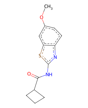 COc1ccc2nc(NC(=O)C3CCC3)sc2c1